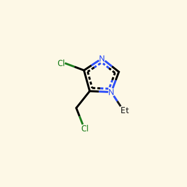 CCn1cnc(Cl)c1CCl